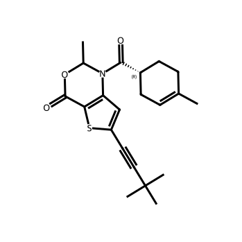 CC1=CC[C@H](C(=O)N2c3cc(C#CC(C)(C)C)sc3C(=O)OC2C)CC1